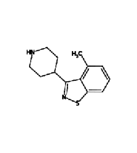 Cc1cccc2snc(C3CCNCC3)c12